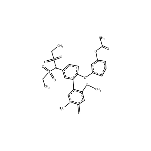 CCS(=O)(=O)N(c1ccc(Oc2cccc(OC(N)=O)c2)c(-c2cn(C)c(=O)cc2OC)c1)S(=O)(=O)CC